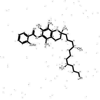 CC(=O)Oc1ccccc1C(=O)Oc1c(C)c(C)c2c(c1C)CC[C@@](C)(CCC[C@H](C)CCC[C@H](C)CCCC(C)C)O2